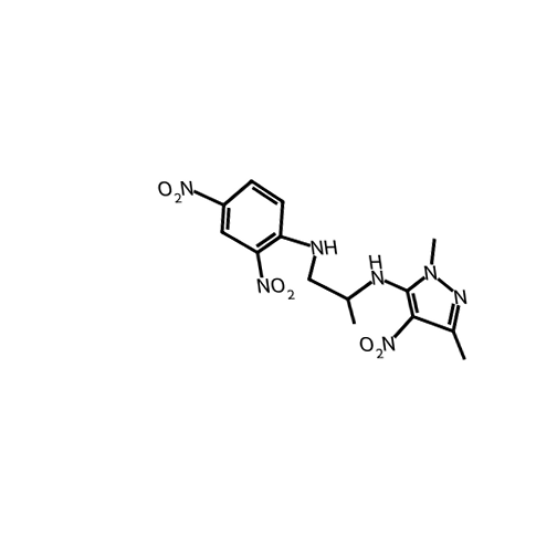 Cc1nn(C)c(NC(C)CNc2ccc([N+](=O)[O-])cc2[N+](=O)[O-])c1[N+](=O)[O-]